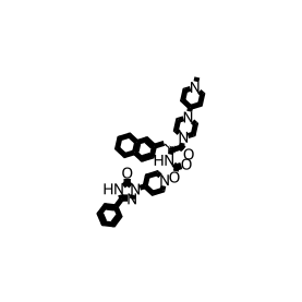 CN1CCC(N2CCN(C(=O)[C@@H](Cc3ccc4c(c3)CCCC4)NC(=O)ON3CCC(n4nc(-c5ccccc5)[nH]c4=O)CC3)CC2)CC1